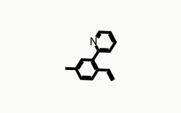 C=Cc1ccc(C)cc1-c1ccccn1